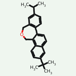 CC(C)c1ccc2c(c1)COCc1c-2ccc2cc(C(C)(C)C)ccc12